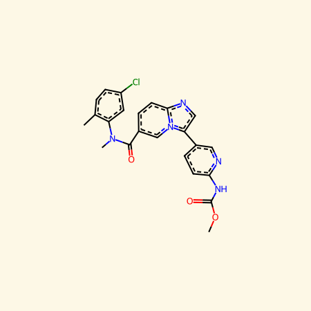 COC(=O)Nc1ccc(-c2cnc3ccc(C(=O)N(C)c4cc(Cl)ccc4C)cn23)cn1